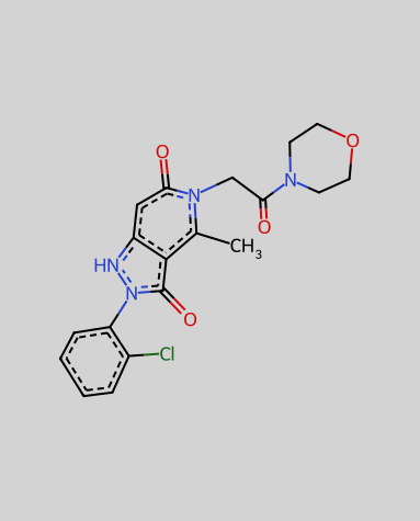 Cc1c2c(=O)n(-c3ccccc3Cl)[nH]c2cc(=O)n1CC(=O)N1CCOCC1